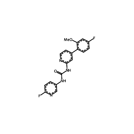 COc1cc(F)ccc1-c1ccnc(NC(=O)Nc2ccc(F)nc2)c1